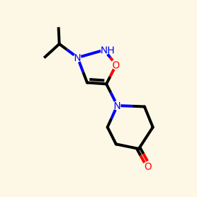 CC(C)N1C=C(N2CCC(=O)CC2)ON1